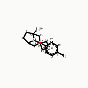 Ic1ccc(N2CC3CC[C@H](C2)N3C2COC2)nc1